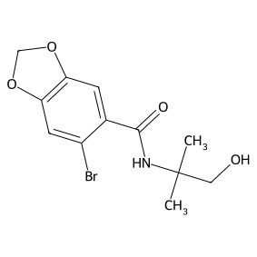 CC(C)(CO)NC(=O)c1cc2c(cc1Br)OCO2